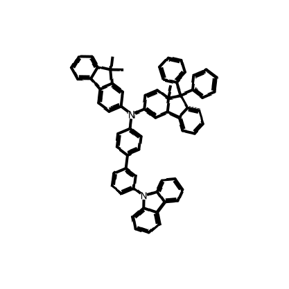 CC1(C)c2ccccc2-c2ccc(N(C3=CC4c5ccccc5C(c5ccccc5)(c5ccccc5)C4(C)C=C3)c3ccc(-c4cccc(-n5c6ccccc6c6ccccc65)c4)cc3)cc21